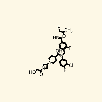 C=C(CF)OC(=N)c1ccc(CN(c2ccc(F)c(Cl)c2)C(O)C2CCN(C3CN(C(=O)CO)C3)CC2)c(F)c1